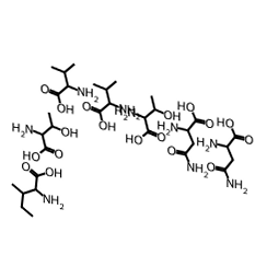 CC(C)C(N)C(=O)O.CC(C)C(N)C(=O)O.CC(O)C(N)C(=O)O.CC(O)C(N)C(=O)O.CCC(C)C(N)C(=O)O.NC(=O)CC(N)C(=O)O.NC(=O)CC(N)C(=O)O